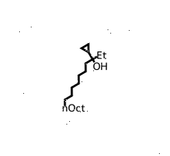 CCCCCCCCCCCCCCCC(O)(CC)C1CC1